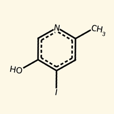 Cc1cc(I)c(O)cn1